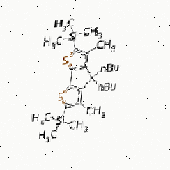 CCCCC1(CCCC)c2c(sc([Si](C)(C)C)c2C)-c2sc([Si](C)(C)C)c(C)c21